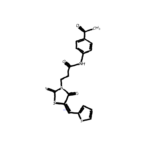 CC(=O)c1ccc(NC(=O)CCN2C(=O)/C(=C\c3cccs3)SC2=S)cc1